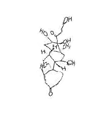 C[C@]12CC(O)[C@H]3[C@@H](CCC4=CC(=O)CC[C@@]43CO)[C@@H]1CC(O)[C@]2(O)C(=O)CO